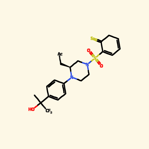 CC(=O)C[C@H]1CN(S(=O)(=O)C2=CC=CCC2=S)CCN1c1ccc(C(C)(O)C(F)(F)F)cc1